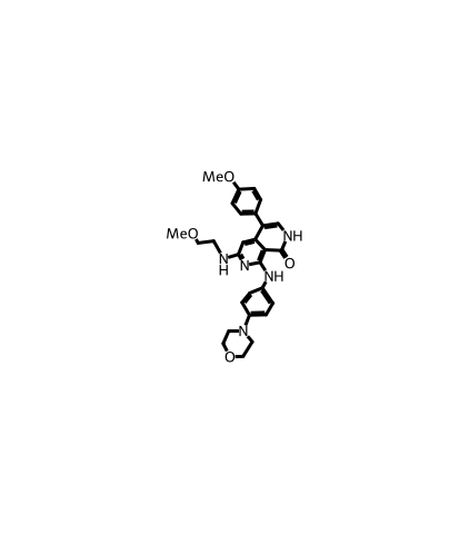 COCCNc1cc2c(-c3ccc(OC)cc3)c[nH]c(=O)c2c(Nc2ccc(N3CCOCC3)cc2)n1